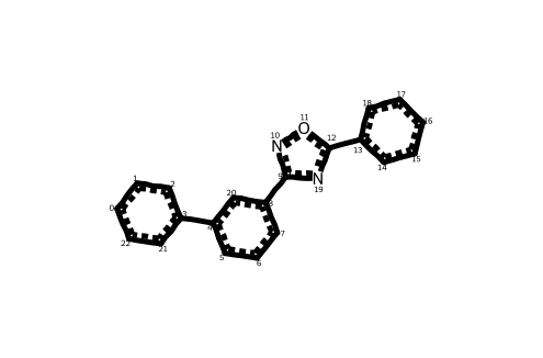 c1ccc(-c2cccc(-c3noc(-c4ccccc4)n3)c2)cc1